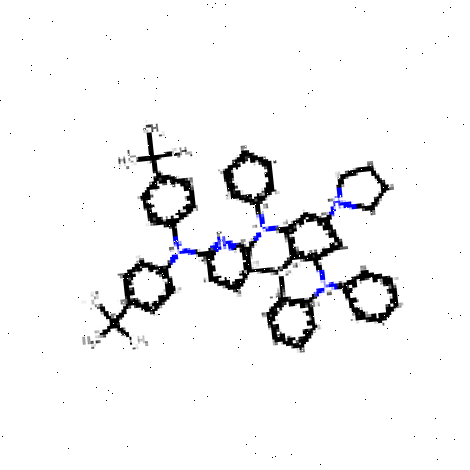 CC(C)(C)c1ccc(N(c2ccc(C(C)(C)C)cc2)c2ccc3c(n2)N(c2ccccc2)c2cc(N4CCCC4)cc4c2B3c2ccccc2N4c2ccccc2)cc1